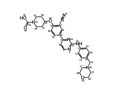 N#Cc1cc(-c2ccnc(Nc3ccc(CN4CCOCC4)cc3)n2)ccc1OC1CCN(C(=O)O)CC1